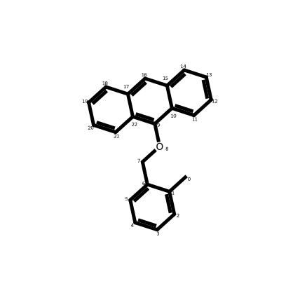 Cc1ccccc1COc1c2ccccc2cc2ccccc12